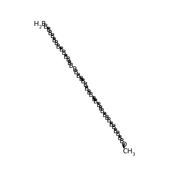 BB=BB=BB=BB=BB=BB=BB=BB=BB=BB=BB=BB=BB=BB=BB=BB=BB=BB=BOCC